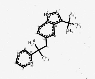 CC(C)(C)c1n[nH]c2ccc(CC(C)(C)c3cnccn3)cc12